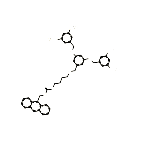 COc1cc(COc2cc(COCCCCNC(=O)OCc3c4ccccc4cc4ccccc34)cc(OCc3cc(OC)cc(OC)c3)c2)cc(OC)c1